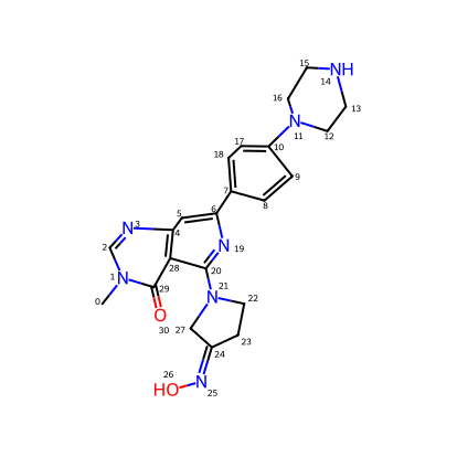 Cn1cnc2cc(-c3ccc(N4CCNCC4)cc3)nc(N3CC/C(=N/O)C3)c2c1=O